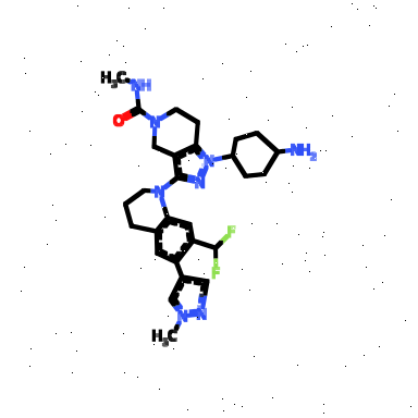 CNC(=O)N1CCc2c(c(N3CCCc4cc(-c5cnn(C)c5)c(C(F)F)cc43)nn2C2CCC(N)CC2)C1